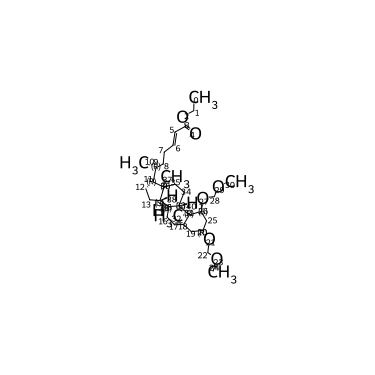 CCOC(=O)C=CCC[C@@H](C)[C@H]1CC[C@H]2[C@@H]3CC=C4C[C@@H](OCOC)C[C@H](OCOC)[C@]4(C)[C@H]3CC[C@]12C